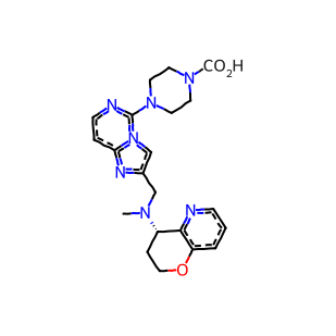 CN(Cc1cn2c(N3CCN(C(=O)O)CC3)nccc2n1)[C@H]1CCOc2cccnc21